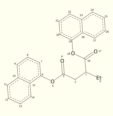 C[CH]C(CC(=O)Oc1cccc2ccccc12)C(=O)Oc1cccc2ccccc12